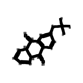 CC(C)(C)Cc1ccc2c(c1)C(=O)C1C=CC=CC1C2=O